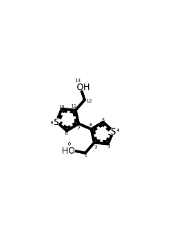 OCc1cscc1-c1cscc1CO